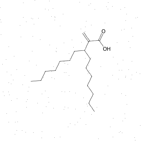 C=C(C(=O)O)C(CCCCCCC)CCCCCCC